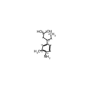 CCN(CC(O)O)c1ccc(N)c(C)c1